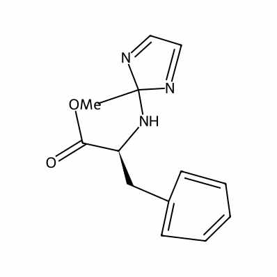 COC(=O)[C@H](Cc1ccccc1)NC1(C)N=CC=N1